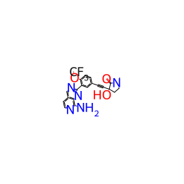 CN1CCC(O)(C#Cc2ccc(OC(F)(F)F)c(-c3ncc4ccnc(N)c4n3)c2)C1=O